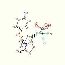 CN1[C@@H]2CC[C@H]1C[C@H](Oc1ccc(I)cc1)C2.O=C(O)C(F)(F)F